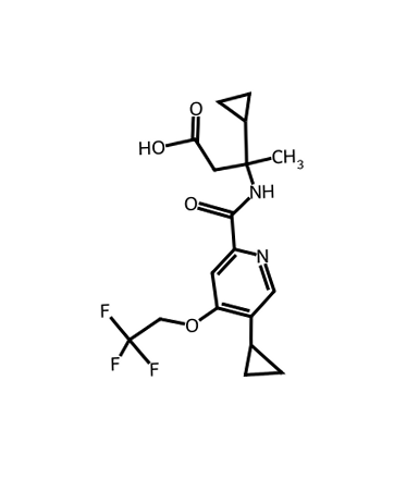 CC(CC(=O)O)(NC(=O)c1cc(OCC(F)(F)F)c(C2CC2)cn1)C1CC1